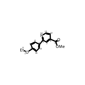 CCOc1ccc(-c2cc(C(=O)OC)ccn2)cc1